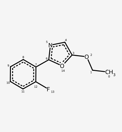 CCOc1cnc(-c2ccccc2F)o1